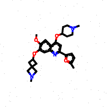 COc1cc2c(OC3CCN(C)CC3)cc(-c3ccc(C)o3)nc2cc1OC1CC2(C1)CN(C)C2